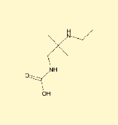 CCNC(C)(C)CNC(=O)O